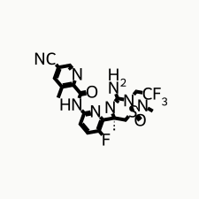 CN=S1(=O)C[C@@](C)(c2nc(NC(=O)c3ncc(C#N)cc3C)ccc2F)N=C(N)N1CC(F)(F)F